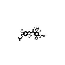 COc1cc(SCC(C)C)c(OC)cc1CC(N)C(CN)c1cc(OC)c(SCCF)cc1OC